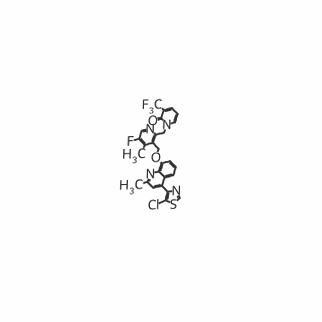 Cc1cc(-c2ncsc2Cl)c2cccc(OCc3c(Cn4cccc(C(F)(F)F)c4=O)ncc(F)c3C)c2n1